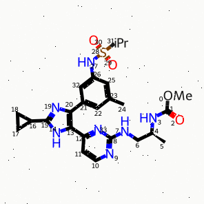 COC(=O)N[C@@H](C)CNc1nccc(-c2[nH]c(C3CC3)nc2-c2cc(C)cc(NS(=O)(=O)C(C)C)c2)n1